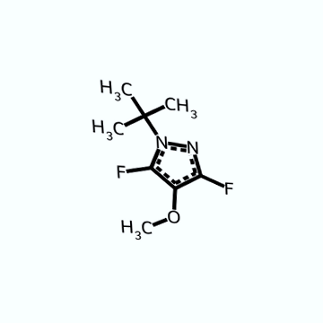 COc1c(F)nn(C(C)(C)C)c1F